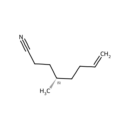 C=CCC[C@H](C)CCC#N